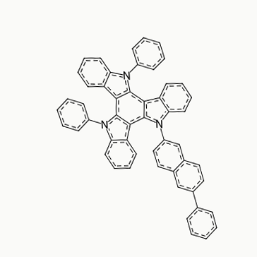 c1ccc(-c2ccc3cc(-n4c5ccccc5c5c6c(c7ccccc7n6-c6ccccc6)c6c(c7ccccc7n6-c6ccccc6)c54)ccc3c2)cc1